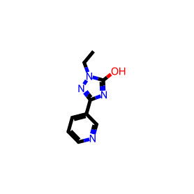 CCn1nc(-c2cccnc2)nc1O